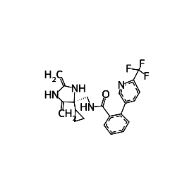 C=C1NC(=C)[C@](CNC(=O)c2ccccc2-c2ccc(C(F)(F)F)nc2)(C2CC2)N1